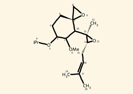 COC1C(OC(C)C)CC[C@]2(CO2)C1[C@@]1(C)O[C@@H]1CC=C(C)C